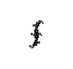 C=CC(=O)CC(O)COc1ccc(C(C)(C)c2ccc(OCC(O)CC(=O)C=C)cc2)cc1